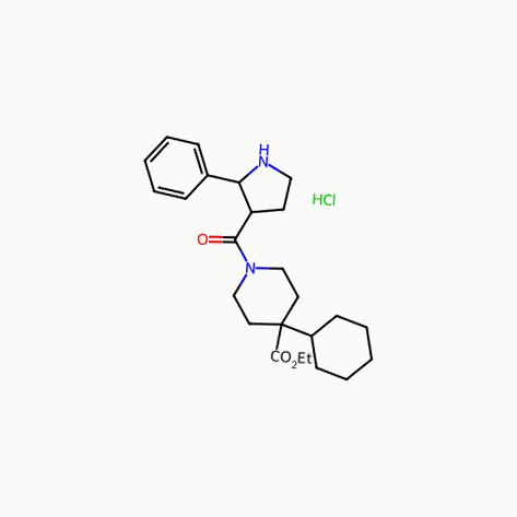 CCOC(=O)C1(C2CCCCC2)CCN(C(=O)C2CCNC2c2ccccc2)CC1.Cl